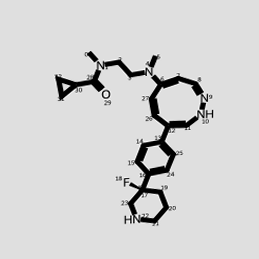 CN(CCN(C)c1ccn[nH]cc(-c2ccc([C@]3(F)CCCNC3)cc2)cc1)C(=O)C1CC1